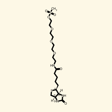 CS(=O)(=O)OCCOCCOCCOCCNC(=O)CCCC[C@@H]1SC[C@@H]2NC(=O)N[C@@H]21